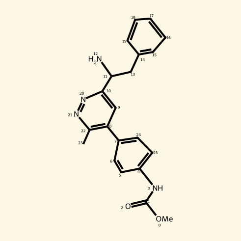 COC(=O)Nc1ccc(-c2cc(C(N)Cc3ccccc3)nnc2C)cc1